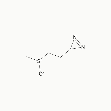 C[S+]([O-])CCC1N=N1